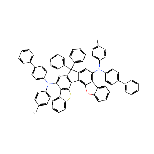 CC(C)(C)c1ccc(N(c2ccc(-c3ccccc3)cc2)c2cc3c(c4oc5ccccc5c24)-c2c(cc(N(c4ccc(-c5ccccc5)cc4)c4ccc(C(C)(C)C)cc4)c4c2sc2ccccc24)C3(c2ccccc2)c2ccccc2)cc1